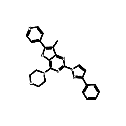 Cc1c(-c2ccncc2)oc2c(N3CCOCC3)nc(-n3ccc(-c4ccccc4)n3)nc12